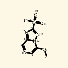 COc1cncc2nc(S(=O)(=O)Cl)nn12